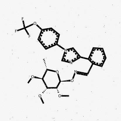 CO[C@@H]1[C@@H](OC)[C@H](C)O[C@@H](O/N=C/c2ccccc2-c2cn(-c3ccc(OC(F)(F)F)cc3)cn2)[C@@H]1OC